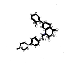 CN1CCN(c2ccc(N/C=C3\C(=O)NC(=O)c4ccc(-c5ccccc5Cl)cc43)cc2)CC1